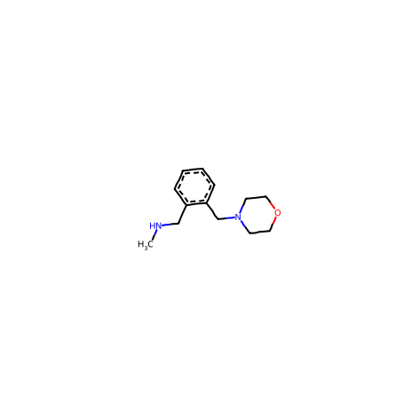 CNCc1ccccc1CN1CCOCC1